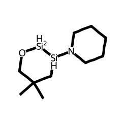 CC1(C)CO[SiH2][SiH](N2CCCCC2)C1